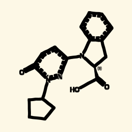 O=C(O)[C@@H]1Cc2ccccc2N1c1ccc(=O)n(C2CCCC2)n1